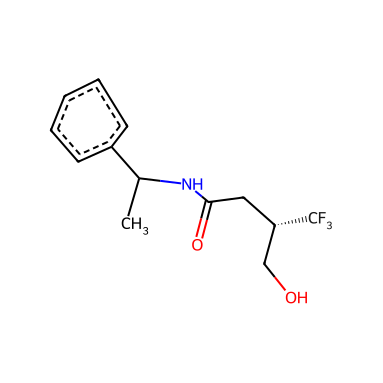 CC(NC(=O)C[C@@H](CO)C(F)(F)F)c1ccccc1